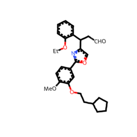 CCOc1ccccc1C(CC=O)c1coc(-c2ccc(OC)c(OCCC3CCCC3)c2)n1